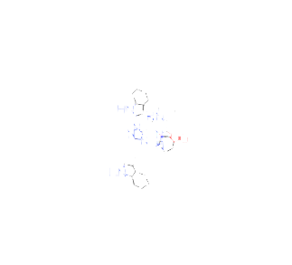 COc1ccc(Cn2c(CCc3c[nH]c4ccccc34)nnc2[C@@H](Cc2c[nH]c3ccccc23)NC(=O)[C@H]2CCCCN2)cc1